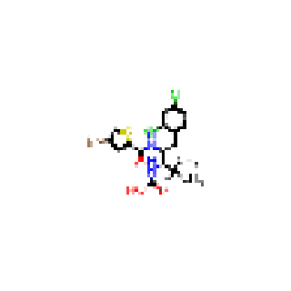 CC(C)(C)[C@@H](NC(=O)O)[C@H](Cc1ccc(Cl)cc1Cl)NC(=O)c1cc(Br)cs1